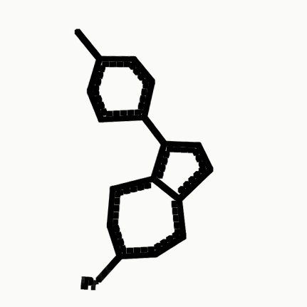 Cc1ccc(-c2ccc3ccc(C(C)C)ccc2-3)cc1